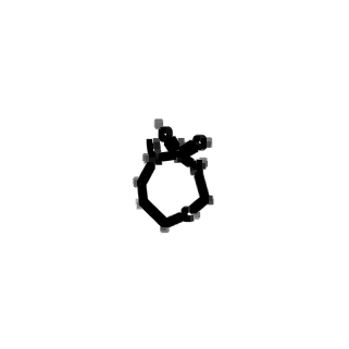 O=S1(=O)[N]CCCCCN1